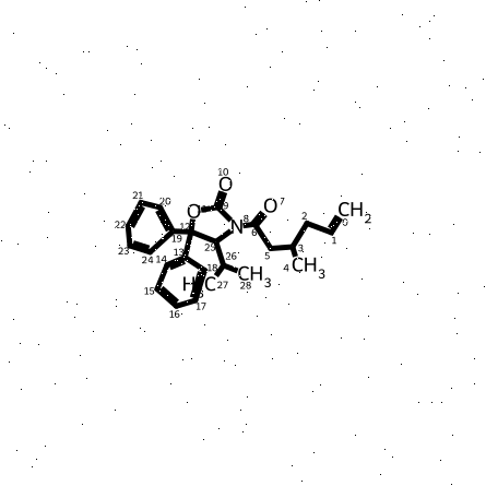 C=CCC(C)CC(=O)N1C(=O)OC(c2ccccc2)(c2ccccc2)C1C(C)C